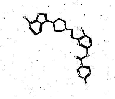 Cc1ccc(NC(=O)c2ccc(F)cc2)cc1CCN1CCC(c2c[nH]c3c(Cl)cccc23)CC1